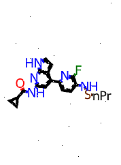 CCCSNc1ccc(-c2cc(NC(=O)C3CC3)nc3[nH]ccc23)nc1F